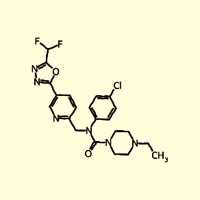 CCN1CCN(C(=O)N(Cc2ccc(-c3nnc(C(F)F)o3)cn2)c2ccc(Cl)cc2)CC1